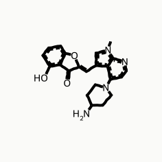 Cn1cc(/C=C2\Oc3cccc(O)c3C2=O)c2c(N3CCC(N)CC3)ccnc21